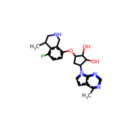 Cc1ncnc2c1ccn2C1CC(Oc2ccc(F)c3c2CNCC3C)C(O)C1O